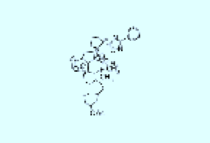 CC(=O)OC1CCC2C(CCC3C2CCC2C3C(C)(C)C(C)(C)C3(C(=O)N4CCC[C@@H]4c4nc(-c5ccccc5)no4)CCC(C4(C)CC4)C23C)C1